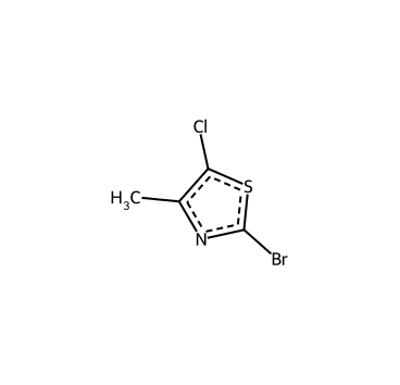 Cc1nc(Br)sc1Cl